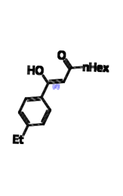 CCCCCCC(=O)/C=C(\O)c1ccc(CC)cc1